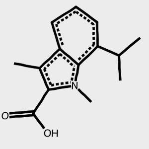 Cc1c(C(=O)O)n(C)c2c(C(C)C)cccc12